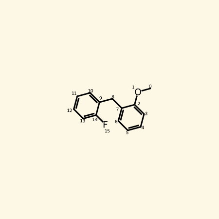 COc1ccccc1Cc1ccccc1F